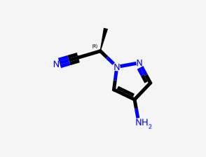 C[C@H](C#N)n1cc(N)cn1